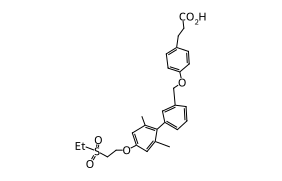 CCS(=O)(=O)CCOc1cc(C)c(-c2cccc(COc3ccc(CCC(=O)O)cc3)c2)c(C)c1